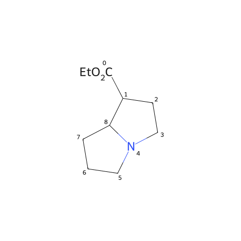 CCOC(=O)C1CCN2CCCC12